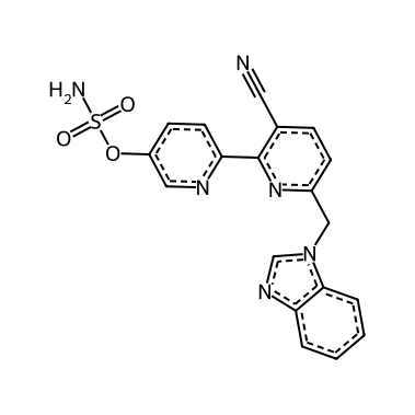 N#Cc1ccc(Cn2cnc3ccccc32)nc1-c1ccc(OS(N)(=O)=O)cn1